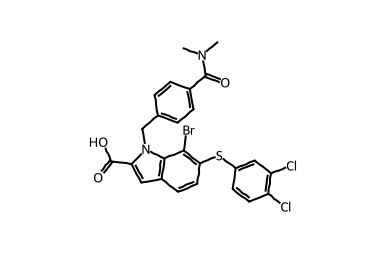 CN(C)C(=O)c1ccc(Cn2c(C(=O)O)cc3ccc(Sc4ccc(Cl)c(Cl)c4)c(Br)c32)cc1